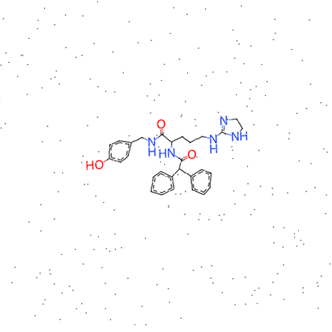 O=C(NCc1ccc(O)cc1)C(CCCNC1=NCCN1)NC(=O)C(c1ccccc1)c1ccccc1